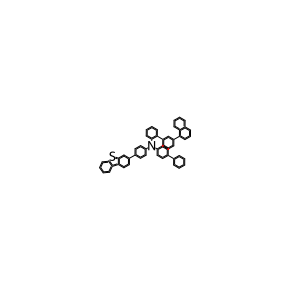 c1ccc(-c2ccc(N(c3ccc(-c4ccc5c(c4)sc4ccccc45)cc3)c3ccccc3-c3cccc(-c4cccc5ccccc45)c3)cc2)cc1